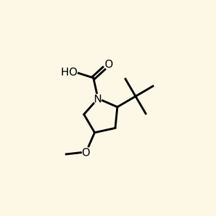 COC1CC(C(C)(C)C)N(C(=O)O)C1